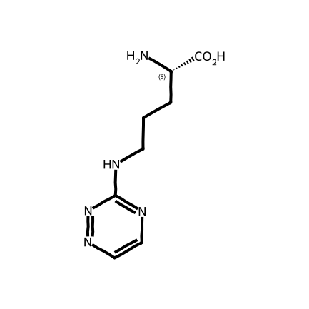 N[C@@H](CCCNc1nccnn1)C(=O)O